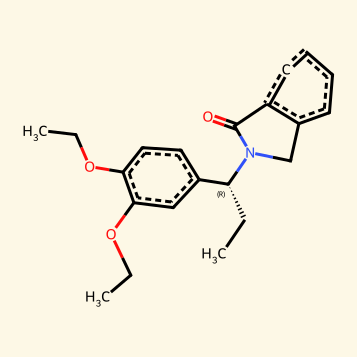 CCOc1ccc([C@@H](CC)N2Cc3ccccc3C2=O)cc1OCC